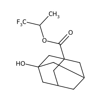 CC(OC(=O)C12CC3CC(CC(O)(C3)C1)C2)C(F)(F)F